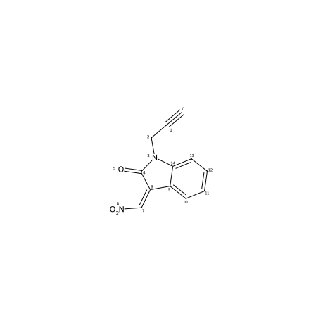 C#CCN1C(=O)C(=C[N+](=O)[O-])c2ccccc21